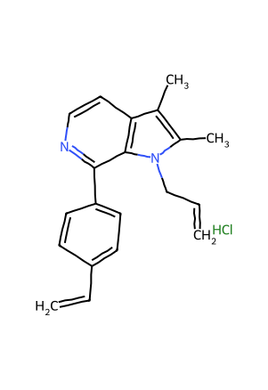 C=CCn1c(C)c(C)c2ccnc(-c3ccc(C=C)cc3)c21.Cl